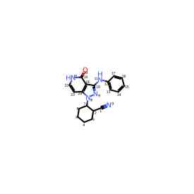 N#CC1CCCCC1n1nc(Nc2ccccc2)c2c(=O)[nH]ccc21